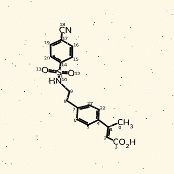 C/C(=C\C(=O)O)c1ccc(CCNS(=O)(=O)c2ccc(C#N)cc2)cc1